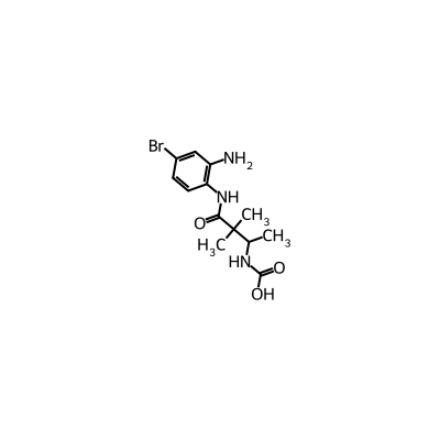 CC(NC(=O)O)C(C)(C)C(=O)Nc1ccc(Br)cc1N